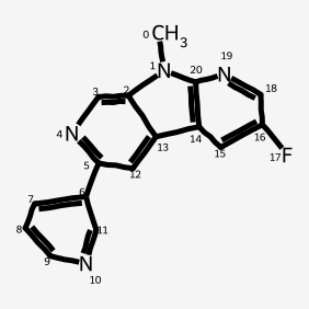 Cn1c2cnc(-c3cccnc3)cc2c2cc(F)cnc21